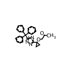 CC(=O)COC1(c2nnn(C(c3ccccc3)(c3ccccc3)c3ccccc3)n2)CC1